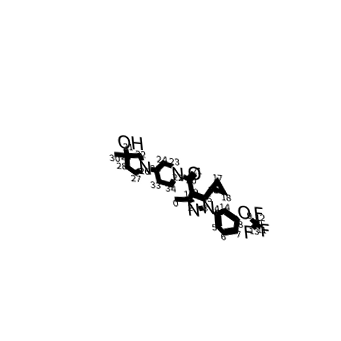 Cc1nn(-c2cccc(OC(F)(F)F)c2)c(C2CC2)c1C(=O)N1CCC(N2CCC(C)(O)C2)CC1